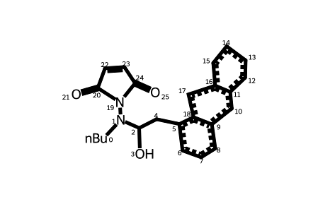 CCCCN(C(O)Cc1cccc2cc3ccccc3cc12)N1C(=O)C=CC1=O